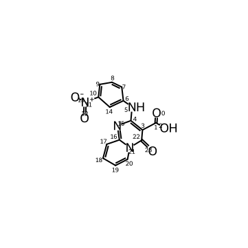 O=C(O)c1c(Nc2cccc([N+](=O)[O-])c2)nc2ccccn2c1=O